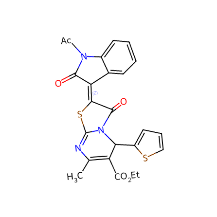 CCOC(=O)C1=C(C)N=c2s/c(=C3\C(=O)N(C(C)=O)c4ccccc43)c(=O)n2C1c1cccs1